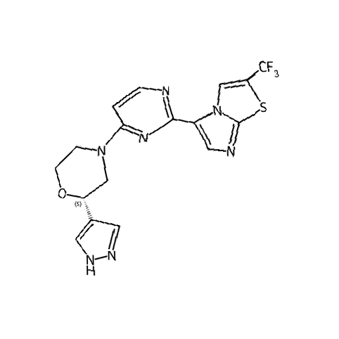 FC(F)(F)c1cn2c(-c3nccc(N4CCO[C@@H](c5cn[nH]c5)C4)n3)cnc2s1